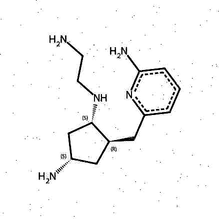 NCCN[C@H]1C[C@@H](N)C[C@@H]1Cc1cccc(N)n1